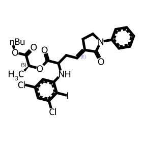 CCCCOC(=O)[C@H](C)OC(=O)C(C/C=C1\CCN(c2ccccc2)C1=O)Nc1cc(Cl)cc(Cl)c1I